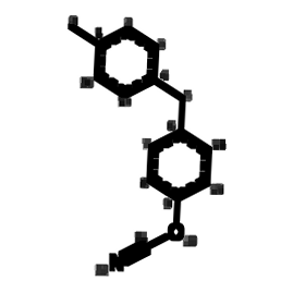 Cc1ccc(Cc2ccc(OC#N)cc2)cc1